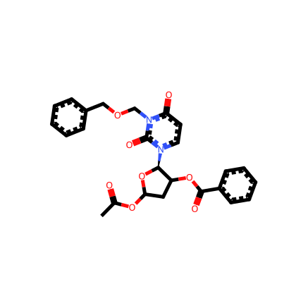 CC(=O)OC1CC(OC(=O)c2ccccc2)[C@H](n2ccc(=O)n(COCc3ccccc3)c2=O)O1